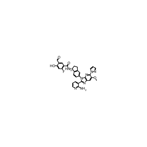 COc1cc2nc(-c3cccnc3N)n(-c3ccc4c(c3)CC[C@@H]4NC(=O)c3cc(C=O)c(O)cc3F)c2nc1-n1cccn1